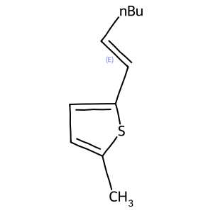 CCCC/C=C/c1ccc(C)s1